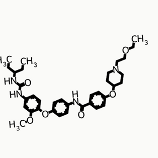 CCOCCN1CCC(Oc2ccc(C(=O)Nc3ccc(Oc4ccc(NC(=O)NC(CC)CC)cc4OC)cc3)cc2)CC1